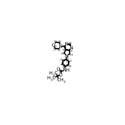 CC(C)(C)OC(=O)Nc1ccc(N2Cc3ncnc(N4CCOCC4)c3C2)cc1